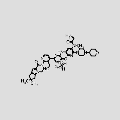 [2H]C([2H])([2H])n1cc(-c2ccnc(N3CCn4c(cc5c4CC(C)(C)C5)C3=O)c2CO)nc(Nc2cnc(N3CCN(C4CCOCC4)C[C@@H]3C)c(NC(=O)C=C)c2)c1=O